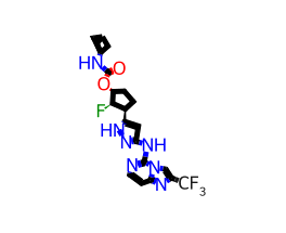 O=C(NC12CC(C1)C2)O[C@H]1CC[C@@H](c2cc(Nc3nccc4nc(C(F)(F)F)cn34)n[nH]2)[C@@H]1F